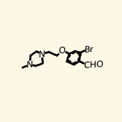 CN1CCN(CCOc2ccc(C=O)c(Br)c2)CC1